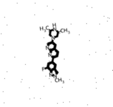 C[C@@H]1CN(c2cnc3nc(-c4cc(F)c5nn(C)cc5c4)ccc3c2)C[C@@H](C)N1